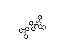 c1ccc(-c2nc(-n3c4ccccc4c4c(-c5ccc6c7ccccc7n(-c7ccccc7)c6c5)cccc43)c3ccc4ccccc4c3n2)cc1